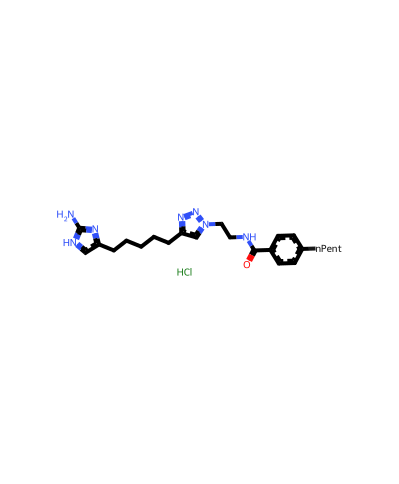 CCCCCc1ccc(C(=O)NCCn2cc(CCCCCc3c[nH]c(N)n3)nn2)cc1.Cl